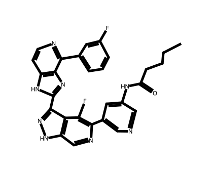 CCCCC(=O)Nc1cncc(-c2ncc3[nH]nc(-c4nc5c(-c6cccc(F)c6)nccc5[nH]4)c3c2F)c1